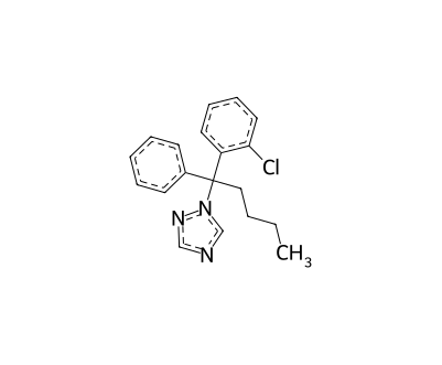 CCCCC(c1ccccc1)(c1ccccc1Cl)n1cncn1